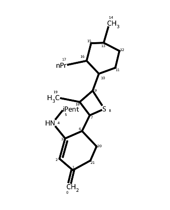 C=C1C=C(NC(C)CCC)C(C2SC(C3CCC(C)CC3CCC)C2C)CC1